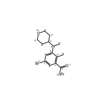 CCCC(=O)c1cc(Br)cc(N(C)C2CCOCC2)c1C